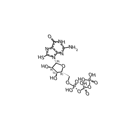 Nc1nc2c(nc(S)n2[C@@H]2O[C@H](COP(=O)(O)OP(=O)(O)OP(=O)(O)O)[C@@H](O)[C@H]2O)c(=O)[nH]1